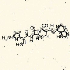 Nc1nc(C(=NO)C(=O)N[C@@H]2C(=O)N3C(C(=O)O)=C(CSc4ncnc5nc[nH]c45)CS[C@@H]23)cs1